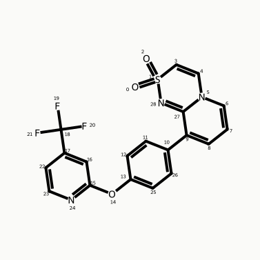 O=S1(=O)C=CN2C=CC=C(c3ccc(Oc4cc(C(F)(F)F)ccn4)cc3)C2=N1